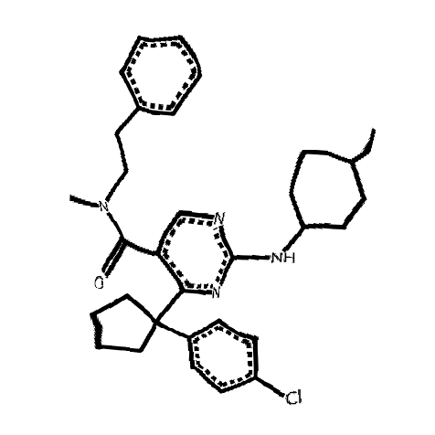 CC1CCC(Nc2ncc(C(=O)N(C)CCc3ccccc3)c(C3(c4ccc(Cl)cc4)CCCC3)n2)CC1